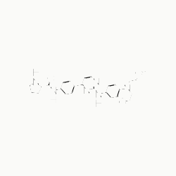 COCCN1CCOc2cc(Nc3nccc(-c4ccc(NC(=O)[C@H]5CCCN5)cc4)n3)ccc21